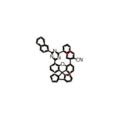 N#Cc1ccccc1-c1cccc2c1Oc1c(-c3nc(-c4ccccc4)nc(-c4ccc5ccccc5c4)n3)cccc1C21c2ccccc2-c2ccccc21